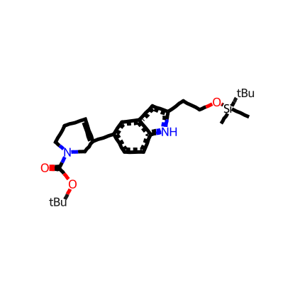 CC(C)(C)OC(=O)N1CCC=C(c2ccc3[nH]c(CCO[Si](C)(C)C(C)(C)C)cc3c2)C1